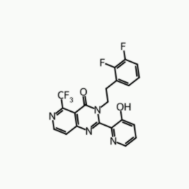 O=c1c2c(C(F)(F)F)nccc2nc(-c2ncccc2O)n1CCc1cccc(F)c1F